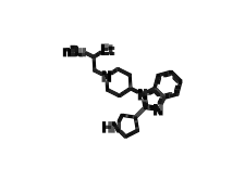 CCCCC(CC)CN1CCC(n2c(C3CCNC3)nc3ccccc32)CC1